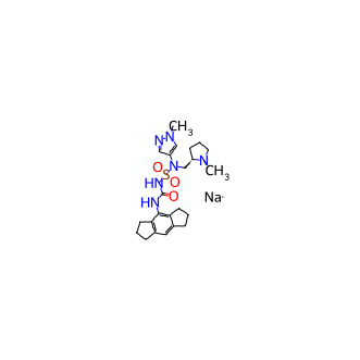 CN1CCC[C@@H]1CN(c1cnn(C)c1)S(=O)(=O)NC(=O)Nc1c2c(cc3c1CCC3)CCC2.[Na]